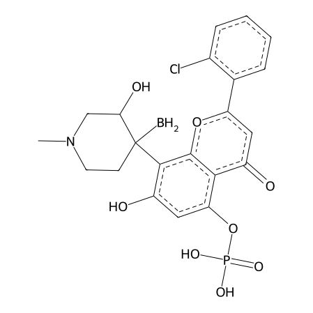 BC1(c2c(O)cc(OP(=O)(O)O)c3c(=O)cc(-c4ccccc4Cl)oc23)CCN(C)CC1O